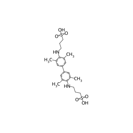 Cc1cc(-c2cc(C)c(NCCCS(=O)(=O)O)c(C)c2)cc(C)c1NCCCS(=O)(=O)O